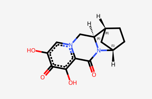 O=C1c2c(O)c(=O)c(O)cn2C[C@H]2[C@@H]3CC[C@@H](C3)N12